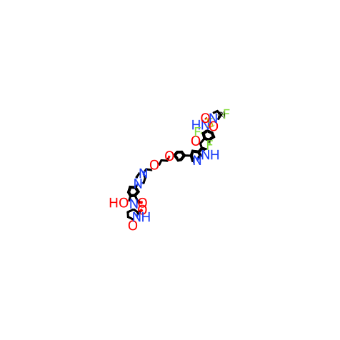 O=C1CCC(N2C(=O)c3cc(N4CCN(CCOCCCOc5ccc(-c6cnc7[nH]cc(C(=O)c8c(F)ccc(NS(=O)(=O)N9CC[C@@H](F)C9)c8F)c7c6)cc5)CC4)ccc3C2O)C(=O)N1